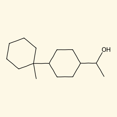 CC(O)C1CCC(C2(C)CCCCC2)CC1